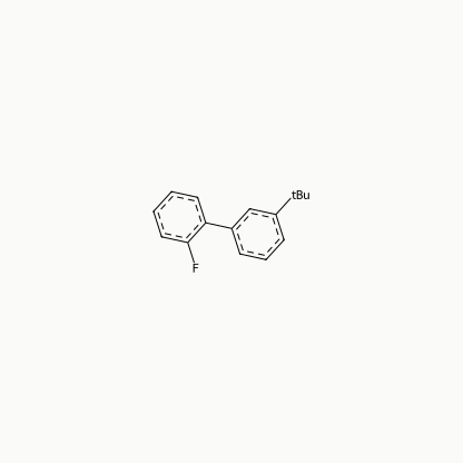 CC(C)(C)c1cccc(-c2ccccc2F)c1